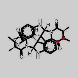 CN1C(=O)[C@]23SS[C@@]1(C)C(=O)N2[C@H]1Nc2ccccc2[C@@]1([C@@]12c4ccccc4N[C@@H]1N1C(=O)[C@]4(C)SS[C@]1(C(=O)N4C)[C@H]2O)C3O